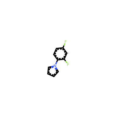 Fc1[c]c(F)c(-n2cccc2)cc1